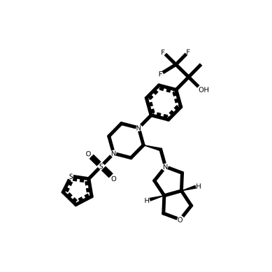 CC(O)(c1ccc(N2CCN(S(=O)(=O)c3cccs3)C[C@@H]2CN2C[C@H]3COC[C@H]3C2)cc1)C(F)(F)F